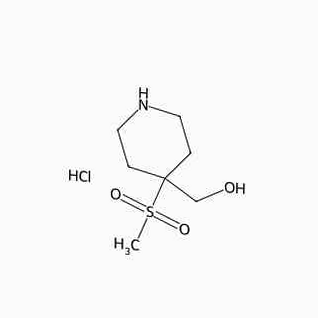 CS(=O)(=O)C1(CO)CCNCC1.Cl